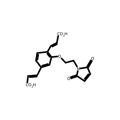 O=C(O)C=Cc1ccc(C=CC(=O)O)c(OCCN2C(=O)C=CC2=O)c1